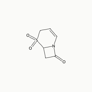 O=C1CC2N1C=CCS2(=O)=O